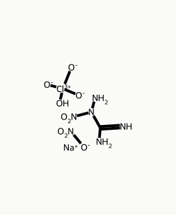 N=C(N)N(N)[N+](=O)[O-].O=[N+]([O-])[O-].[Na+].[O-][Cl+3]([O-])([O-])O